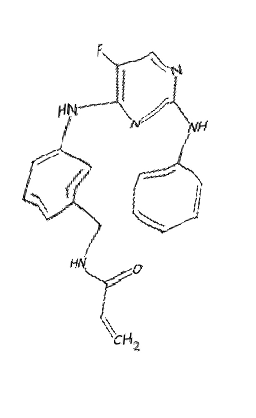 C=CC(=O)NCc1cccc(Nc2nc(Nc3ccccc3)ncc2F)c1